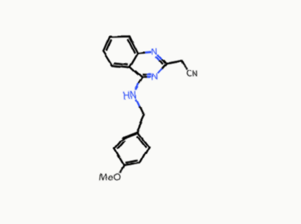 COc1ccc(CNc2nc(CC#N)nc3ccccc23)cc1